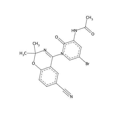 CC(=O)Nc1cc(Br)cn(C2=NC(C)(C)Oc3ccc(C#N)cc32)c1=O